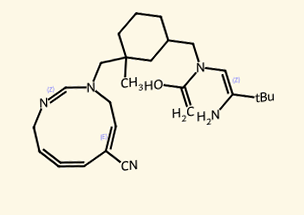 C=C(O)N(/C=C(\N)C(C)(C)C)CC1CCCC(C)(CN2/C=N\CC=C=C/C(C#N)=C\C2)C1